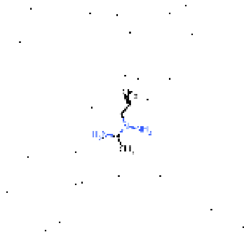 C=CCN(N)[C@@H](C)N